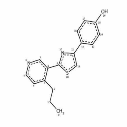 CCCc1ccncc1-c1nc(-c2ccc(O)cc2)cs1